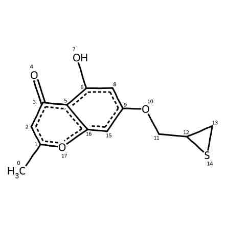 Cc1cc(=O)c2c(O)cc(OCC3CS3)cc2o1